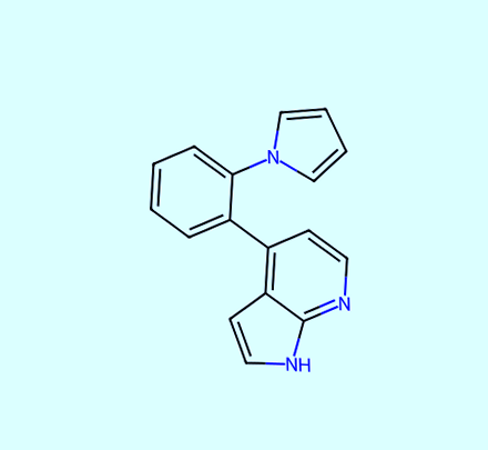 c1ccc(-n2cccc2)c(-c2ccnc3[nH]ccc23)c1